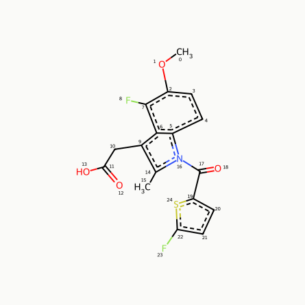 COc1ccc2c(c1F)c(CC(=O)O)c(C)n2C(=O)c1ccc(F)s1